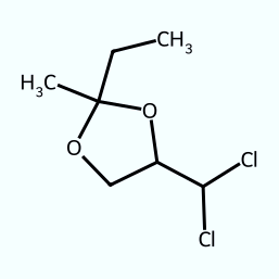 CCC1(C)OCC(C(Cl)Cl)O1